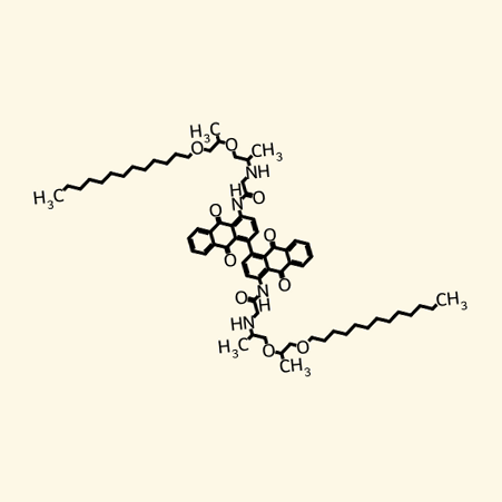 CCCCCCCCCCCCCOCC(C)OCC(C)NCC(=O)Nc1ccc(-c2ccc(NC(=O)CNC(C)COC(C)COCCCCCCCCCCCCC)c3c2C(=O)c2ccccc2C3=O)c2c1C(=O)c1ccccc1C2=O